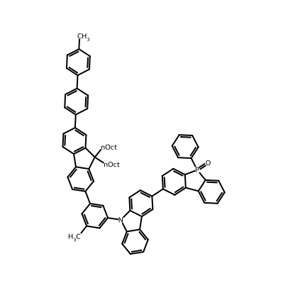 CCCCCCCCC1(CCCCCCCC)c2cc(-c3ccc(-c4ccc(C)cc4)cc3)ccc2-c2ccc(-c3cc(C)cc(-n4c5ccccc5c5cc(-c6ccc7c(c6)-c6ccccc6P7(=O)c6ccccc6)ccc54)c3)cc21